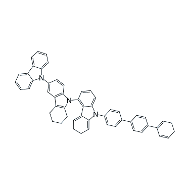 C1=CC(c2ccc(-c3ccc(-n4c5c(c6c(-n7c8c(c9cc(-n%10c%11ccccc%11c%11ccccc%11%10)ccc97)CCCC8)cccc64)=CCCC=5)cc3)cc2)=CCC1